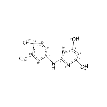 Oc1cc(O)nc(Nc2ccc(Cl)c(Cl)c2)n1